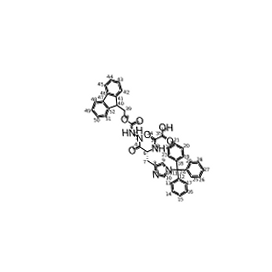 O=C(NNC(=O)[C@@H](Cc1cn(C(c2ccccc2)(c2ccccc2)c2ccccc2)cn1)NC(=O)C(=O)O)OCC1c2ccccc2-c2ccccc21